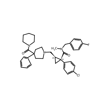 CN(Cc1ccc(F)cc1)C(=O)[C@@]1(c2ccc(Cl)cc2)C[C@H]1CN1CCC(C(=O)N2CCCCC2)(c2ccccc2)CC1